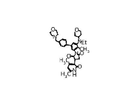 CCN(c1cc(-c2ccc(CN3CCOCC3)cc2)cc(N2C(=O)CC(c3c(C)cc(C)[nH]c3=O)C2=O)c1C)C1CCOCC1